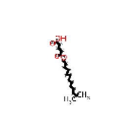 CC(C)CCCCCCCCCCCOC(=O)CCCC(=O)O